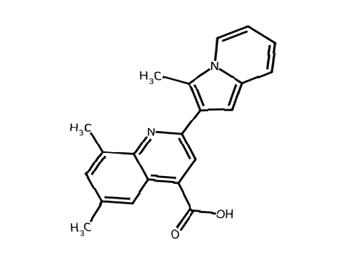 Cc1cc(C)c2nc(-c3cc4ccccn4c3C)cc(C(=O)O)c2c1